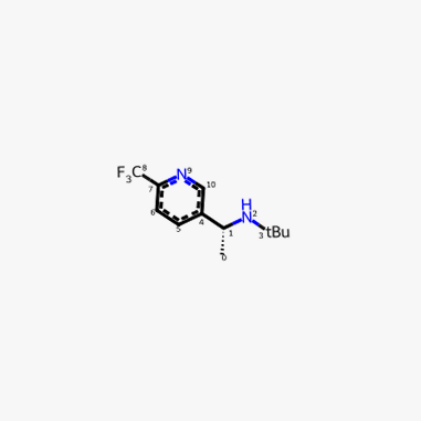 C[C@@H](NC(C)(C)C)c1ccc(C(F)(F)F)nc1